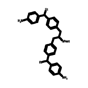 CCCCCC(Cc1ccc(C(CC)c2ccc(N)cc2)cc1)Cc1ccc(C(CC)c2ccc(N)cc2)cc1